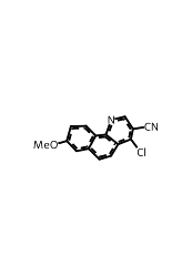 COc1ccc2c(ccc3c(Cl)c(C#N)cnc32)c1